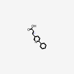 O=C(O)/C=C/c1ccc(-c2ccccc2)nc1